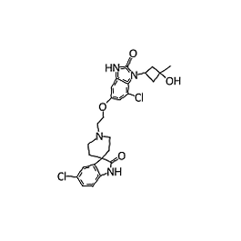 CC1(O)CC(n2c(=O)[nH]c3cc(OCCN4CCC5(CC4)C(=O)Nc4ccc(Cl)cc45)cc(Cl)c32)C1